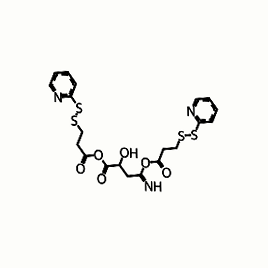 N=C(CC(O)C(=O)OC(=O)CCSSc1ccccn1)OC(=O)CCSSc1ccccn1